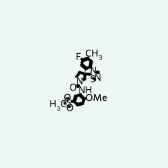 COc1ccc(S(C)(=O)=O)cc1NC(=O)N1CC[C@@](c2ccc(C)c(F)c2)(c2ncns2)C1